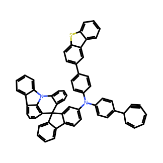 C1#CC(c2ccc(N(c3ccc(-c4ccc5sc6ccccc6c5c4)cc3)c3ccc4c(c3)C3(c5ccccc5-4)c4ccccc4-n4c5ccccc5c5cccc3c54)cc2)C=CC=C1